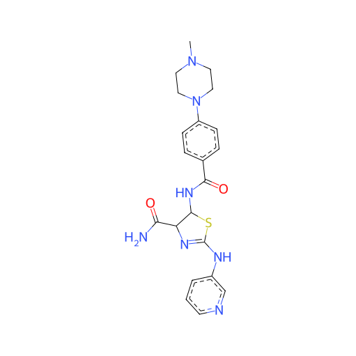 CN1CCN(c2ccc(C(=O)NC3SC(Nc4cccnc4)=NC3C(N)=O)cc2)CC1